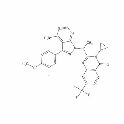 COc1ccc(-c2nn(C(C)c3nc4cc(C(F)(F)F)ccc4c(=O)n3C3CC3)c3ncnc(N)c23)cc1F